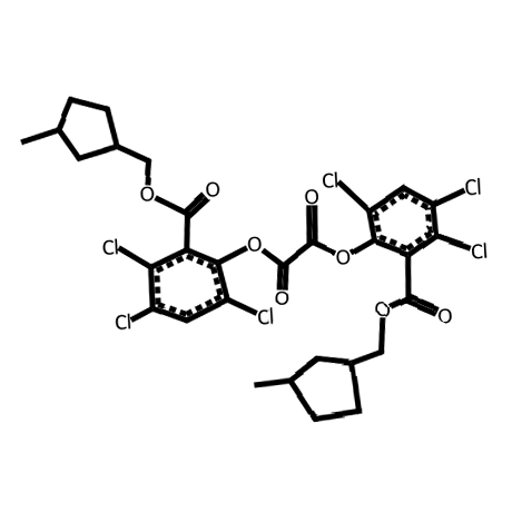 CC1CCC(COC(=O)c2c(Cl)c(Cl)cc(Cl)c2OC(=O)C(=O)Oc2c(Cl)cc(Cl)c(Cl)c2C(=O)OCC2CCC(C)C2)C1